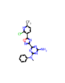 CN(c1ccccc1)c1nc(N)nc(-c2noc(-c3ccc(C(F)(F)F)nc3Cl)n2)n1